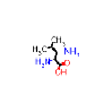 CC(C)C[C@H](N)C(=O)O.N